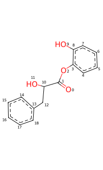 O=C(Oc1ccccc1O)C(O)Cc1ccccc1